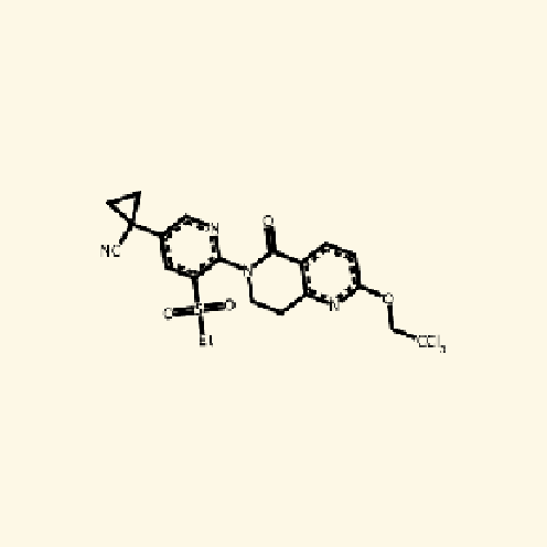 CCS(=O)(=O)c1cc(C2(C#N)CC2)cnc1N1CCc2nc(OCC(Cl)(Cl)Cl)ccc2C1=O